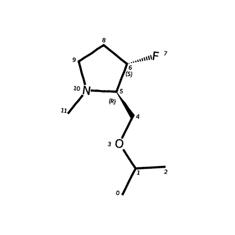 CC(C)OC[C@@H]1[C@@H](F)CCN1C